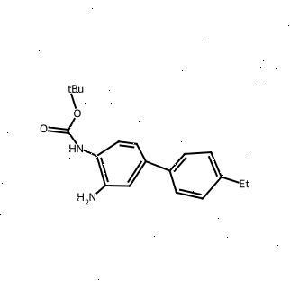 CCc1ccc(-c2ccc(NC(=O)OC(C)(C)C)c(N)c2)cc1